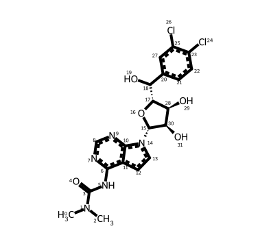 CN(C)C(=O)Nc1ncnc2c1ccn2[C@@H]1O[C@H](C(O)c2ccc(Cl)c(Cl)c2)[C@@H](O)[C@H]1O